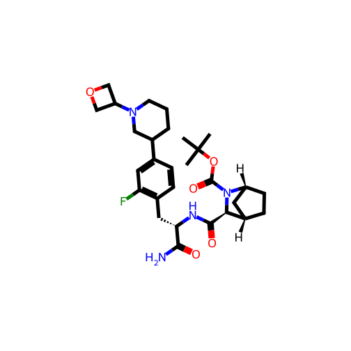 CC(C)(C)OC(=O)N1[C@@H]2CC[C@@H](C2)[C@H]1C(=O)N[C@@H](Cc1ccc(C2CCCN(C3COC3)C2)cc1F)C(N)=O